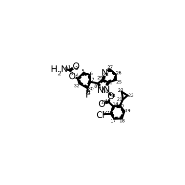 NC(=O)Oc1ccc(-c2nn(OC(=O)c3c(Cl)cccc3C3CC3)c3cccnc23)c(F)c1